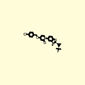 Cn1c([C@@H]2C[C@@H]2C(C)(C)F)nc2ccc(-n3ccc(OCc4ccc(Cl)cc4)cc3=O)cc21